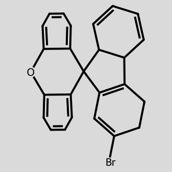 BrC1=CC2=C(CC1)C1C=CC=CC1C21c2ccccc2Oc2ccccc21